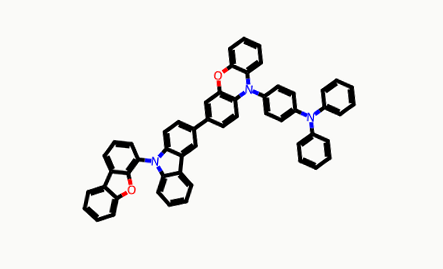 c1ccc(N(c2ccccc2)c2ccc(N3c4ccccc4Oc4cc(-c5ccc6c(c5)c5ccccc5n6-c5cccc6c5oc5ccccc56)ccc43)cc2)cc1